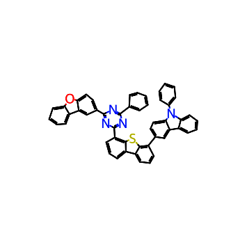 c1ccc(-c2nc(-c3ccc4oc5ccccc5c4c3)nc(-c3cccc4c3sc3c(-c5ccc6c(c5)c5ccccc5n6-c5ccccc5)cccc34)n2)cc1